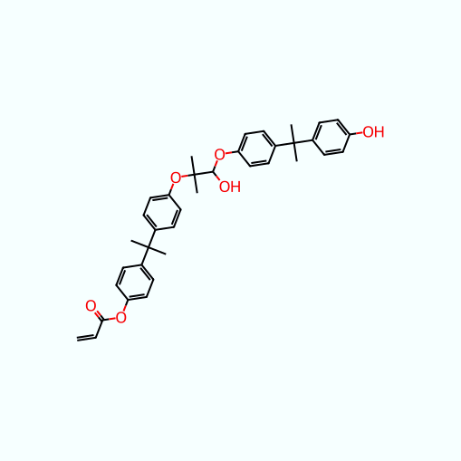 C=CC(=O)Oc1ccc(C(C)(C)c2ccc(OC(C)(C)C(O)Oc3ccc(C(C)(C)c4ccc(O)cc4)cc3)cc2)cc1